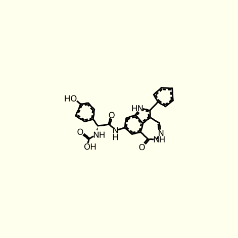 O=C(O)N[C@@H](C(=O)Nc1cc2c3c(c(-c4ccccc4)[nH]c3c1)C=NNC2=O)c1ccc(O)cc1